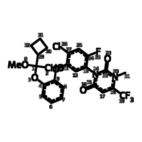 COC(C=O)(Oc1ccccc1Oc1cc(-n2c(=O)cc(C(F)(F)F)n(C)c2=O)c(F)cc1Cl)C1CCC1